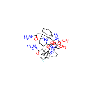 CC1C[C@H](C2CCCN2[C@@]2(C(=O)NC(=O)O)c3cccc(c3)C2(C)CC(N)=O)N(c2ccc(F)cc2)[C@@]1(C)C1CCCN1[C@@]1(C(=O)NC(=O)O)c2cccc(c2)C1(C)CC(N)=O